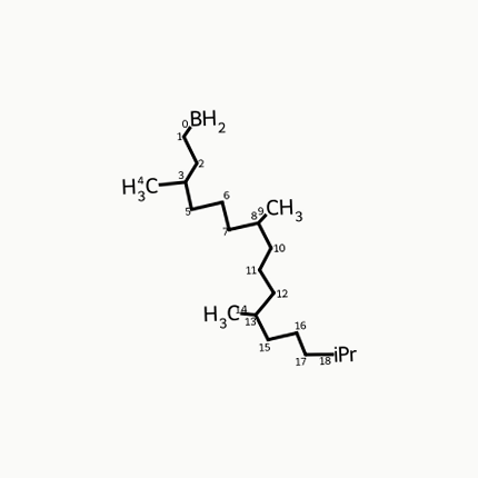 BCCC(C)CCCC(C)CCCC(C)CCCC(C)C